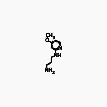 COc1ccnc(NCCCN)c1